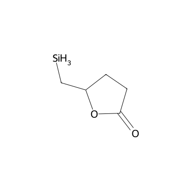 O=C1CCC(C[SiH3])O1